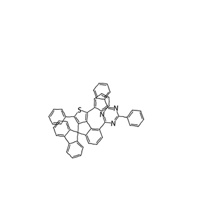 c1ccc(-c2nc(-c3ccccc3)nc(-c3cccc4c3-c3c(-c5ccccc5)sc(-c5ccccc5)c3C43c4ccccc4-c4ccccc43)n2)cc1